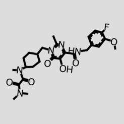 COc1cc(CNC(=O)c2nc(C)n(CC3CCC(N(C)C(=O)C(=O)N(C)C)CC3)c(=O)c2O)ccc1F